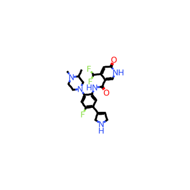 CC1CN(c2cc(F)c(C3=CCNC3)cc2NC(=O)c2c[nH]c(=O)cc2C(F)F)CCN1C